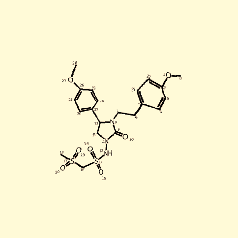 COc1ccc(CCN2C(=O)N(NS(=O)(=O)CS(C)(=O)=O)CC2c2ccc(OC)cc2)cc1